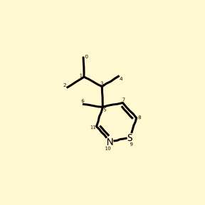 CC(C)C(C)C1(C)C=CSN=C1